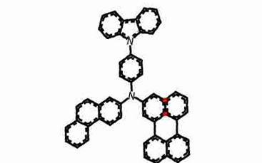 c1ccc(-c2cccc3cccc(-c4cccc(N(c5ccc(-n6c7ccccc7c7ccccc76)cc5)c5ccc6c(ccc7ccccc76)c5)c4)c23)cc1